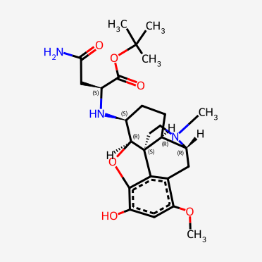 COc1cc(O)c2c3c1C[C@@H]1[C@@H]4CC[C@H](N[C@@H](CC(N)=O)C(=O)OC(C)(C)C)[C@H](O2)[C@]34CCN1C